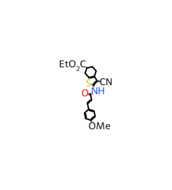 CCOC(=O)C1CCc2c(sc(NC(=O)C=Cc3ccc(OC)cc3)c2C#N)C1